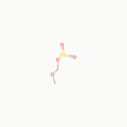 COCO[SH](=O)=O